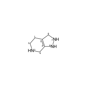 C1CC2=C(CN1)NNC2